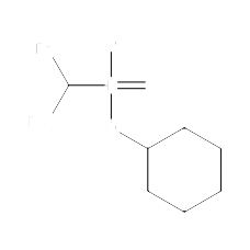 CCC(C(F)(F)F)P(=O)(O)OC1CCCCC1